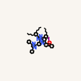 CCCCc1cc(I)cc(-c2nc(-c3cc(CCCC)cc(CCCC)c3)nc(-c3cc(-c4nc(-c5ccccc5)cc(-c5ccccc5)n4)ccc3-n3c4ccccc4c4c5oc6ccccc6c5ccc43)n2)c1